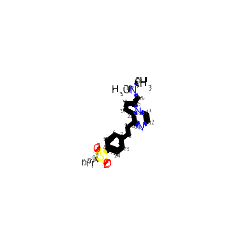 CCCS(=O)(=O)c1ccc(CCc2nccn3c(CN(C)C)ccc23)cc1